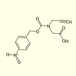 C#CCN(CC(=O)O)C(=O)OCc1ccc([N+](=O)[O-])cc1